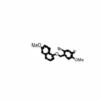 COc1ccc2c(OCc3cc(OC)c(F)cc3Br)cccc2c1